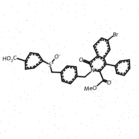 COC(=O)c1c(-c2ccccc2)c2cc(Br)ccc2c(=O)n1Cc1ccc(C[S+]([O-])c2ccc(C(=O)O)cc2)cc1